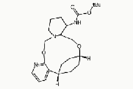 CC(C)(C)OC(=O)NC1CCCN2COc3ncccc3[C@H]3CC[C@H](CC3)OCC12